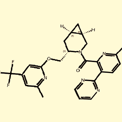 Cc1cc(C(F)(F)F)cc(OC[C@@H]2C[C@H]3C[C@H]3CN2C(=O)c2nc(C)ccc2-c2ncccn2)n1